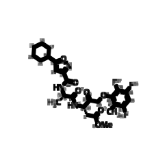 COC(=O)C[C@H](NC(=O)[C@H](C)NC(=O)c1cc(C2CCCCC2)on1)C(=O)COc1c(C)c(F)cc(F)c1F